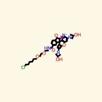 [N-]=[N+]=C1C(=O)c2ccc(C(=O)NCCOCCOCCCCCCCl)cc2C12c1ccc(N3CC(O)C3)cc1Oc1cc(N3CC(O)C3)ccc12